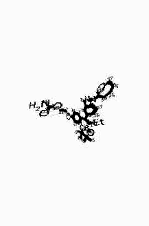 CC/C(B1OC(C)(C)C(C)(C)O1)=C(/c1ccc(OCCOC(N)=O)cc1)c1ccc2c(cnn2C2CCCCO2)c1